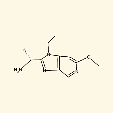 CCn1c([C@@H](C)N)nc2cnc(OC)cc21